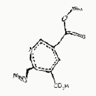 COc1ncc(C(=O)OC(C)(C)C)cc1C(=O)O